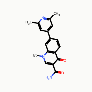 CCn1cc(C(N)=O)c(=O)c2ccc(-c3cc(C)nc(C)c3)cc21